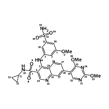 COc1cc(Nc2c(S(=O)(=O)NC3CC3)cnc3cc(-c4cnc(OC)nc4OC)ccc23)cc(S(N)(=O)=O)c1